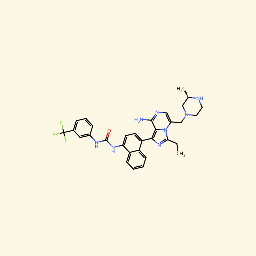 CCc1nc(-c2ccc(NC(=O)Nc3cccc(C(F)(F)F)c3)c3ccccc23)c2c(N)ncc(CN3CCN[C@H](C)C3)n12